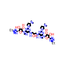 CCn1nnc([C@H]2O[C@@H](n3cnc4c(NCC(O)CNc5nc(N6CC[C@@H](N(C)C)C6)nc6c5ncn6[C@@H]5O[C@H](c6nnn(CC)n6)[C@@H](O)[C@H]5O)nc(N5CC[C@@H](N(C)C)C5)nc43)[C@H](O)[C@@H]2O)n1